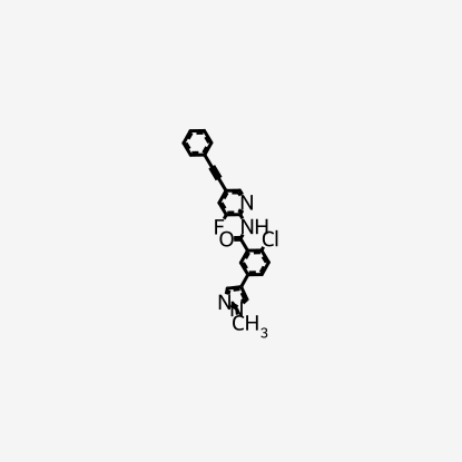 Cn1cc(-c2ccc(Cl)c(C(=O)Nc3ncc(C#Cc4ccccc4)cc3F)c2)cn1